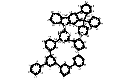 c1ccc(-c2cccc(-c3cc(-c4ccccc4)cc(-c4cccc(-c5nc(-c6ccccc6)nc(-n6c7ccccc7c7cc8c(cc76)C(c6ccccc6)(c6ccccc6)c6ccccc6-8)n5)c4)c3)c2)cc1